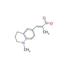 C/C(=C\c1ccc2c(c1)CCCN2C)[N+](=O)[O-]